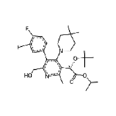 Cc1nc(CO)c(-c2ccc(F)c(F)c2)c(N2CCC(C)(C)CC2)c1[C@H](OC(C)(C)C)C(=O)OC(C)C